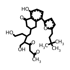 CC(=O)CC(=O)C(CO)C(CCO)CC1CC(=O)c2c(O)ccc(-c3ccc(CCC(C)(C)C)o3)c2C1